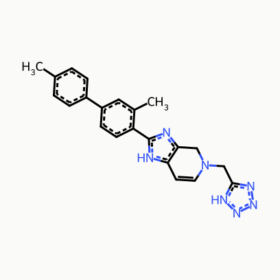 Cc1ccc(-c2ccc(-c3nc4c([nH]3)C=CN(Cc3nnn[nH]3)C4)c(C)c2)cc1